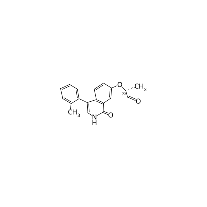 Cc1ccccc1-c1c[nH]c(=O)c2cc(O[C@H](C)C=O)ccc12